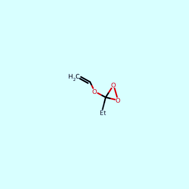 C=COC1(CC)OO1